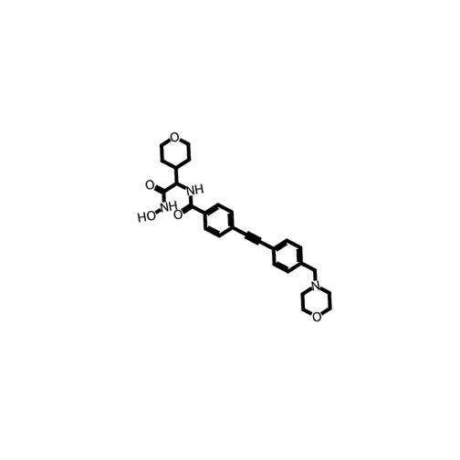 O=C(NC(C(=O)NO)C1CCOCC1)c1ccc(C#Cc2ccc(CN3CCOCC3)cc2)cc1